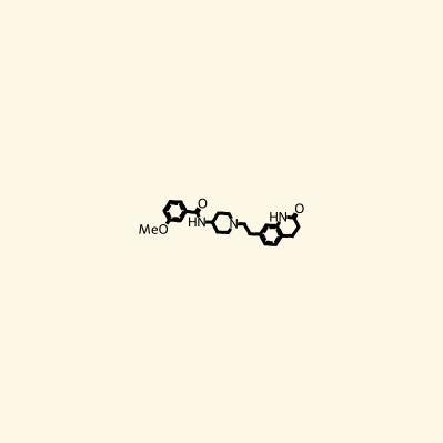 COc1cccc(C(=O)NC2CCN(CCc3ccc4c(c3)NC(=O)CC4)CC2)c1